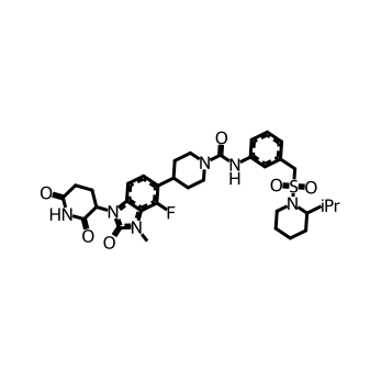 CC(C)C1CCCCN1S(=O)(=O)Cc1cccc(NC(=O)N2CCC(c3ccc4c(c3F)n(C)c(=O)n4C3CCC(=O)NC3=O)CC2)c1